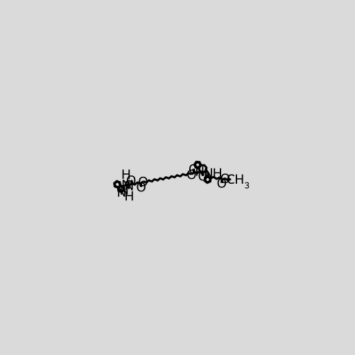 CCOC(=O)CCCc1ccccc1NC1CCc2ccccc2N(CC(=O)OCCCCCCCCCCCCCCCCOC(=O)CCC(=O)NNc2nncc3ccccc23)C1=O